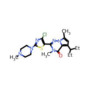 CCC(CC)c1cc(C)n2nc(-c3sc(N4CCN(C)CC4)nc3Cl)n(C)c(=O)c12